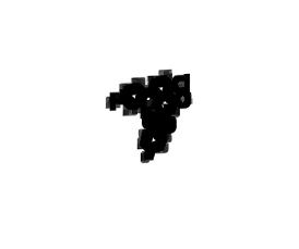 Cc1ccc(S(=O)(=O)N2CC(=O)c3c(Cl)ccc(-c4ccc(F)cc4F)c3C2)cc1